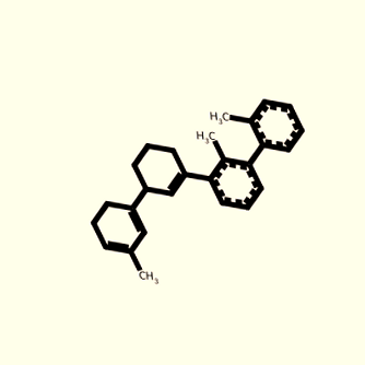 CC1=CCCC(C2C=C(c3cccc(-c4ccccc4C)c3C)CCC2)=C1